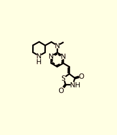 CN(CC1CCCNC1)c1nccc(/C=C2\SC(=O)NC2=O)n1